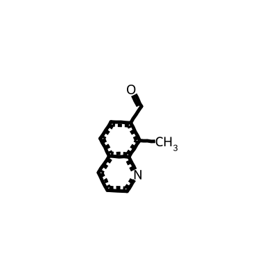 Cc1c(C=O)ccc2cccnc12